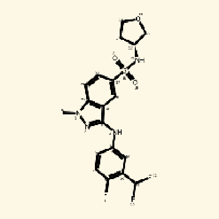 Cn1nc(Nc2ccc(F)c(C(F)F)c2)c2cc(S(=O)(=O)N[C@H]3CCOC3)ccc21